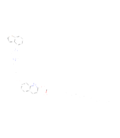 CCCCCCCCCCCCCCCCC(=O)Oc1ccc2ccc(OCCCCN3CCN(c4cccc5sccc45)CC3)cc2n1